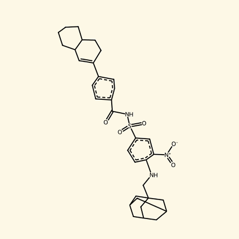 O=C(NS(=O)(=O)c1ccc(NCC23CC4CC(CC(C4)C2)C3)c([N+](=O)[O-])c1)c1ccc(C2=CC3CCCCC3CC2)cc1